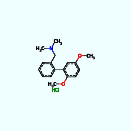 COc1ccc(OC)c(-c2ccccc2CN(C)C)c1.Cl